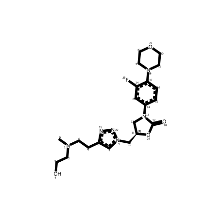 CN(CCO)CCc1cn(C[C@H]2CN(c3ccc(N4CCOCC4)c(F)c3)C(=O)O2)nn1